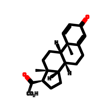 C[C@]12CC[C@H]3[C@@H](CCC4=CC(=O)C=C[C@@]43C)[C@@H]1CC[C@@H]2C(=O)C(=O)O